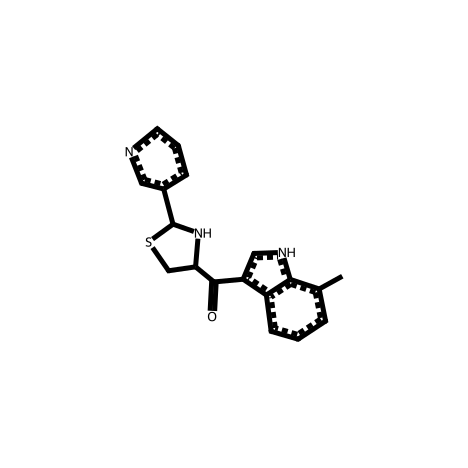 Cc1cccc2c(C(=O)C3CSC(c4cccnc4)N3)c[nH]c12